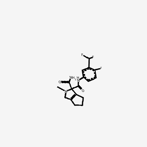 CN1CC2=C(CCC2)C1(C(N)=O)C(=O)Nc1ccc(F)c(C(F)F)c1